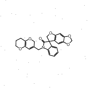 O=C1N(CC2=CC3=C(CCCO3)OC2)c2ccccc2C12COc1cc3c(cc12)OCO3